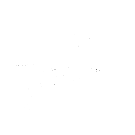 COc1ccc(C(=O)NC(CC(=O)O)c2ccc(C)cc2)nc1-c1ccc(F)c(F)c1